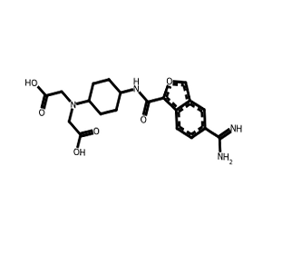 N=C(N)c1ccc2c(C(=O)NC3CCC(N(CC(=O)O)CC(=O)O)CC3)occ2c1